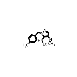 C=Nc1cnn(Cc2ccc(C)cc2)c1NCC